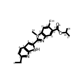 CCc1ccc2cc(-c3nc4cc(C(=O)OC(C)C)c(F)cc4n3C)[nH]c2n1